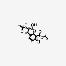 CCOC(=O)c1c(Cl)ccc2c1OB(O)C(NC(C)=O)C2